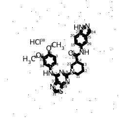 COc1ccc(Nc2nc(N3CCCC(C(=O)Nc4ccc5[nH]ncc5c4)C3)nc3scnc23)cc1OC.Cl